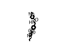 CCCn1cc(S(=O)(=O)c2ccc(CNC(=O)c3ccc4nccn4c3)cc2)cn1